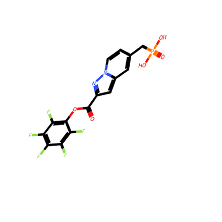 O=C(Oc1c(F)c(F)c(F)c(F)c1F)c1cc2cc(CP(=O)(O)O)ccn2n1